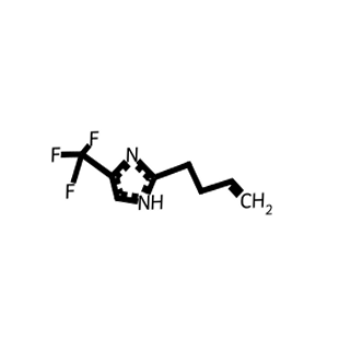 C=CCCc1nc(C(F)(F)F)c[nH]1